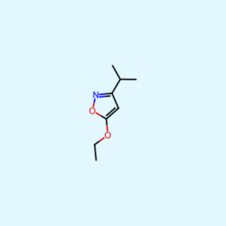 CCOc1cc(C(C)C)no1